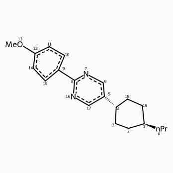 CCC[C@H]1CC[C@H](c2cnc(-c3ccc(OC)cc3)nc2)CC1